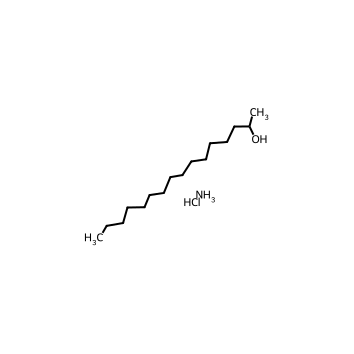 CCCCCCCCCCCCCCC(C)O.Cl.N